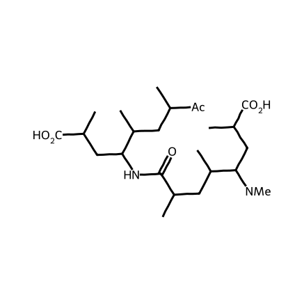 CNC(CC(C)C(=O)O)C(C)CC(C)C(=O)NC(CC(C)C(=O)O)C(C)CC(C)C(C)=O